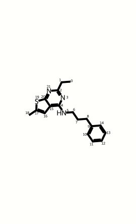 CCc1nc(NCCCc2ccccc2)c2cc(C)sc2n1